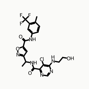 Cc1ccc(NC(=O)c2cc(C(C)NC(=O)c3ncnc(NCCO)c3Cl)no2)cc1C(F)(F)F